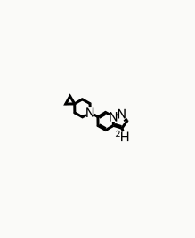 [2H]c1cnn2cc(N3CCC4(CC3)CC4)ccc12